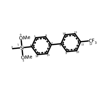 CO[Si](C)(OC)c1ccc(-c2ccc(C(F)(F)F)cc2)cc1